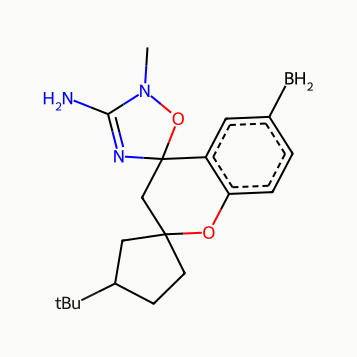 Bc1ccc2c(c1)C1(CC3(CCC(C(C)(C)C)C3)O2)N=C(N)N(C)O1